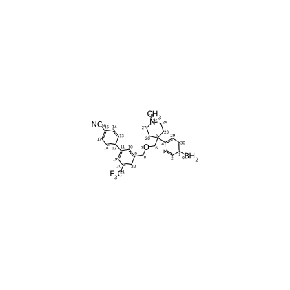 Bc1ccc(C2(COCc3cc(-c4ccc(C#N)cc4)cc(C(F)(F)F)c3)CCN(C)CC2)cc1